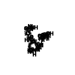 O=C(CC1CCN(C(=O)c2nc[nH]n2)CC1)Nc1ccc2cc1CCc1cncc(c1)Nc1ncc(Cl)c(n1)N2.O=C(O)C(F)(F)F.O=C(O)C(F)(F)F